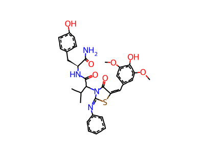 COc1cc(C=C2SC(=Nc3ccccc3)N(C(C(=O)N[C@@H](Cc3ccc(O)cc3)C(N)=O)C(C)C)C2=O)cc(OC)c1O